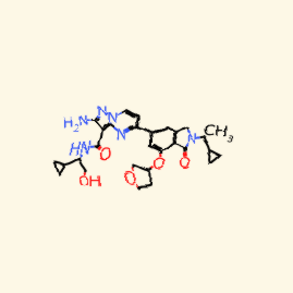 CC(C1CC1)N1Cc2cc(-c3ccn4nc(N)c(C(=O)NC(CO)C5CC5)c4n3)cc(OC3CCOC3)c2C1=O